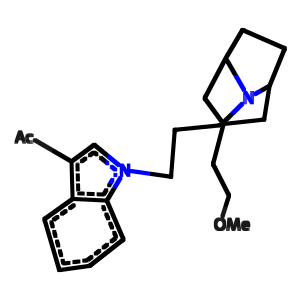 COCCC1CC2CCC(C1)N2CCCn1cc(C(C)=O)c2ccccc21